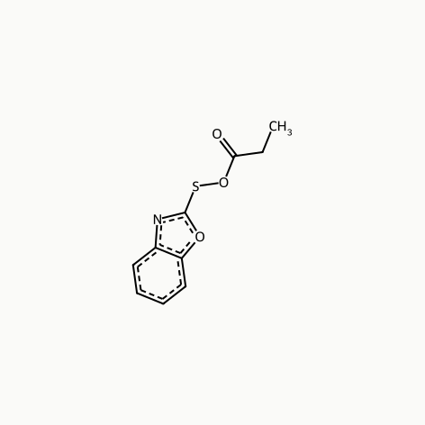 CCC(=O)OSc1nc2ccccc2o1